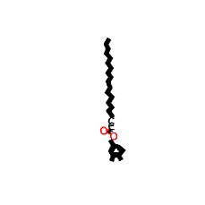 CCCCCCCCCCCCCCCCCCCC(=O)OCc1ccc(C)c(C)c1